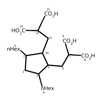 CCCCCCC1CC(CCCCCC)C(CC(C(=O)O)C(=O)O)C1CC(C(=O)O)C(=O)O